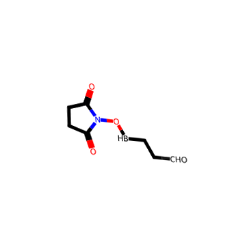 O=CCCBON1C(=O)CCC1=O